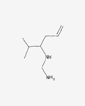 C=CCC(NCN)C(C)C